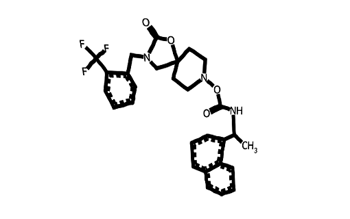 CC(NC(=O)ON1CCC2(CC1)CN(Cc1ccccc1C(F)(F)F)C(=O)O2)c1cccc2ccccc12